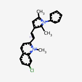 Cc1cc(/C=C/c2ccc3ccc(Cl)cc3[n+]2C)c(C)n1-c1ccccc1